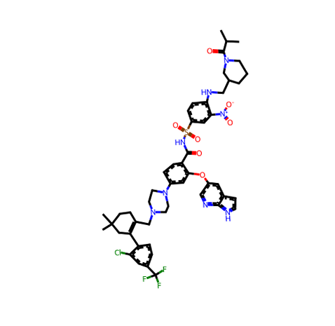 CC(C)C(=O)N1CCCC(CNc2ccc(S(=O)(=O)NC(=O)c3ccc(N4CCN(CC5=C(c6ccc(C(F)(F)F)cc6Cl)CC(C)(C)CC5)CC4)cc3Oc3cnc4[nH]ccc4c3)cc2[N+](=O)[O-])C1